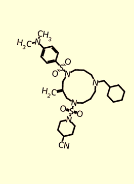 C=C1CN(S(=O)(=O)c2ccc(N(C)C)cc2)CCCN(CC2CCCCC2)CCCN(S(=O)(=O)N2CCC(C#N)CC2)C1